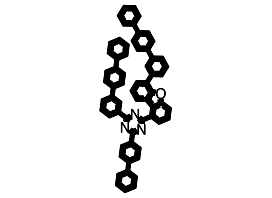 c1ccc(-c2ccc(-c3cccc(-c4nc(-c5ccc(-c6ccccc6)cc5)nc(-c5cccc6oc7c(-c8cccc(-c9ccc(-c%10ccccc%10)cc9)c8)cccc7c56)n4)c3)cc2)cc1